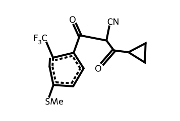 CSc1ccc(C(=O)C(C#N)C(=O)C2CC2)c(C(F)(F)F)c1